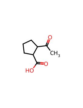 CC(=O)C1CCCC1C(=O)O